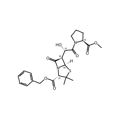 COC(=O)[C@@H]1CCCN1C(=O)[C@@H](O)[C@@H]1C(=O)N2[C@@H]1SC(C)(C)[C@@H]2C(=O)OCc1ccccc1